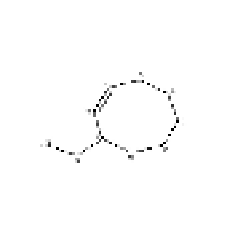 [CH2]CC1C=CCCCCC1